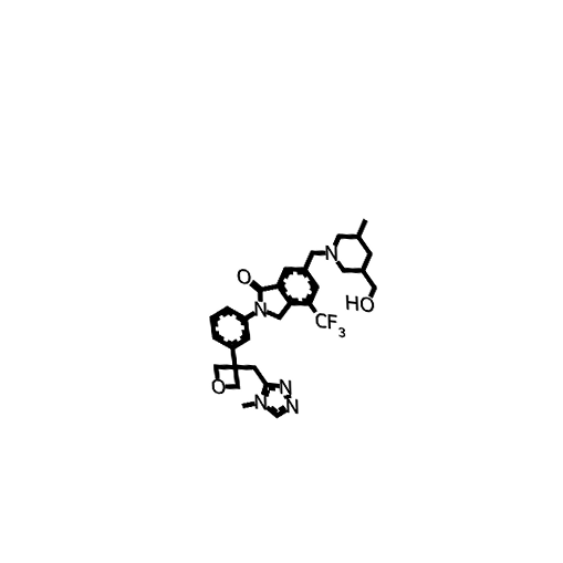 CC1CC(CO)CN(Cc2cc3c(c(C(F)(F)F)c2)CN(c2cccc(C4(Cc5nncn5C)COC4)c2)C3=O)C1